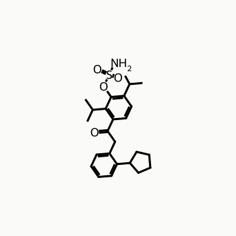 CC(C)c1ccc(C(=O)Cc2ccccc2C2CCCC2)c(C(C)C)c1OS(N)(=O)=O